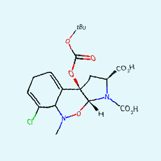 CN1O[C@H]2N(C(=O)O)[C@H](C(=O)O)C[C@@]2(OC(=O)OC(C)(C)C)C2=CCC=C(Cl)C21